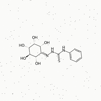 O[C@@H]1[C@H](O)[C@H](O)/C(=N\NC(=S)Nc2ccccc2)[C@H](O)[C@H]1O